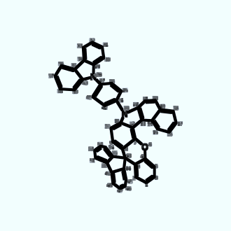 c1ccc2c(c1)Oc1c(ccc3c1c1c4ccccc4ccc1n3-c1ccc(-n3c4ccccc4c4ccccc43)cc1)C21c2ccccc2-c2ccccc21